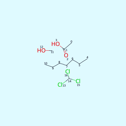 CC(=O)O.CCCCCCC.CO.ClC(Cl)Cl